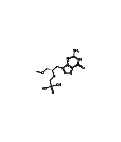 COC[C@H](Cn1cnc2c(=O)[nH]c(N)nc21)OCP(=O)(O)O